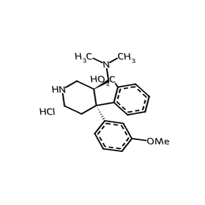 COc1cccc([C@]2(c3ccccc3C(=O)O)CCNC[C@H]2CN(C)C)c1.Cl